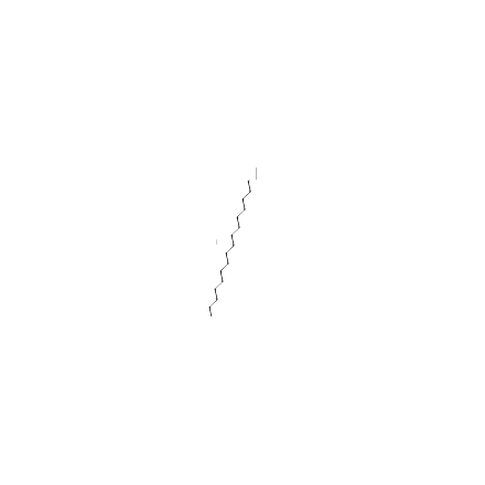 CCCCCCCCCCCCCCCC[Te].[O]